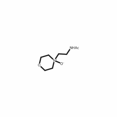 [CH2]C(=O)NCC[N+]1([O-])CCOCC1